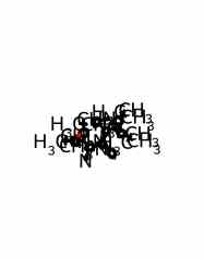 CC(C)(C)c1ccc2c(c1)c1cc(C(C)(C)C)ccc1n2-c1cc(C#N)cc(-c2nc(-c3ccccc3)nc(-c3cc(-c4ccccc4C#N)cc(-n4c5ccc(C(C)(C)C)cc5c5cc(C(C)(C)C)ccc54)c3)n2)c1